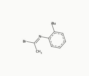 CCC(C)c1ccccc1/N=C(\C)Br